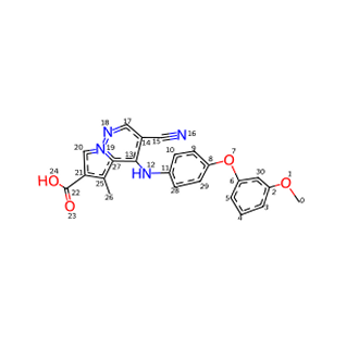 COc1cccc(Oc2ccc(Nc3c(C#N)cnn4cc(C(=O)O)c(C)c34)cc2)c1